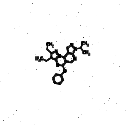 CCc1nn2c(nc(Oc3ccccc3)c3cnc4c(cnn4C(C)C)c32)c1CC